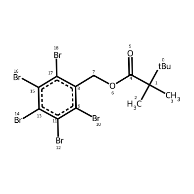 CC(C)(C)C(C)(C)C(=O)OCc1c(Br)c(Br)c(Br)c(Br)c1Br